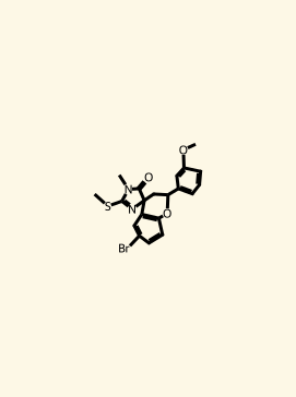 COc1cccc(C2CC3(N=C(SC)N(C)C3=O)c3cc(Br)ccc3O2)c1